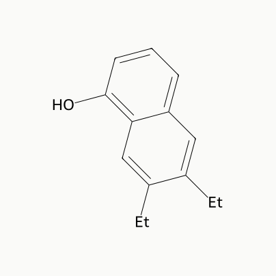 CCc1cc2cccc(O)c2cc1CC